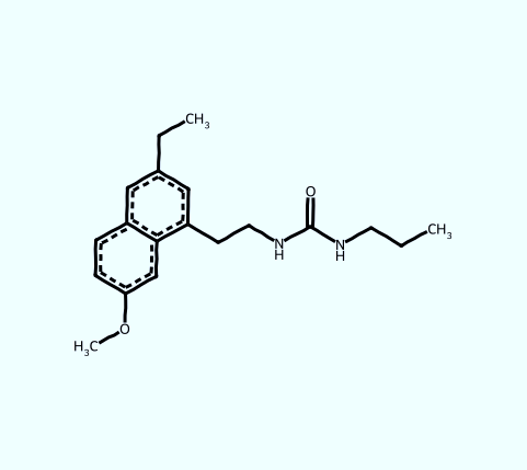 CCCNC(=O)NCCc1cc(CC)cc2ccc(OC)cc12